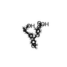 Cc1cc2cc(C(=CCOc3ccc(OCC(=O)O)c(C)c3)c3ccc(C#CCN(C)CCO)cc3)ccc2o1